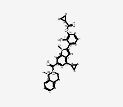 C[C@@H]1c2ccccc2CCN1C(=O)c1cc(C2CC2)c2cc(-c3cccc(OC(=O)C4CC4)c3F)n(C)c2c1